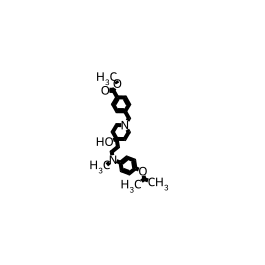 COC(=O)c1ccc(CN2CCC(O)(CCN(C)c3ccc(OC(C)C)cc3)CC2)cc1